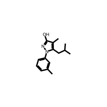 Cc1cccc(-n2nc(O)c(C)c2CC(C)C)c1